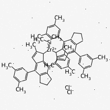 CC1=Cc2c(-c3cc(C)cc(C)c3)c3c(c(-c4cc(C)cc(C)c4)c2[CH]1[Zr+2]([CH]1C(C)=Cc2c(-c4cc(C)cc(C)c4)c4c(c(-c5cc(C)cc(C)c5)c21)CCC4)=[Si](C)C)CCC3.[Cl-].[Cl-]